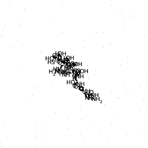 N=C(N)NCCC[C@@H](NC(=O)[C@@H](CC(=O)O)NC(=O)[C@@H](CC(=O)O)NC(=O)[C@@H](CCCNC(=N)N)NC(=O)[C@@H](CC(=O)O)NC(=O)CC[C@@H](NC(=O)c1ccc(NCc2cnc3nc(N)[nH]c(=O)c3n2)cc1)C(=O)O)C(=O)NC(CC(=O)O)C(=O)N[C@H](CS)C(=O)O